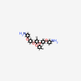 Cc1ccc(Oc2ccc(C)cc2Oc2ccc(Oc3cccc(N)c3)cc2)c(Oc2ccc(Oc3cccc(N)c3)cc2)c1